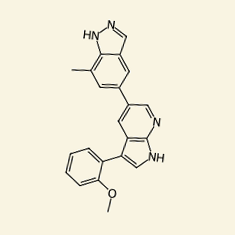 COc1ccccc1-c1c[nH]c2ncc(-c3cc(C)c4[nH]ncc4c3)cc12